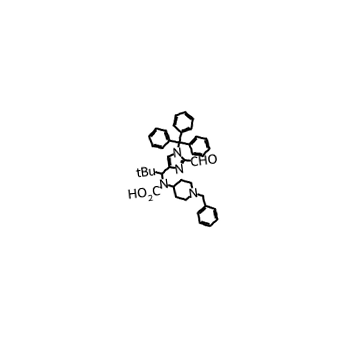 CC(C)(C)C(c1cn(C(c2ccccc2)(c2ccccc2)c2ccccc2)c(C=O)n1)N(C(=O)O)C1CCN(Cc2ccccc2)CC1